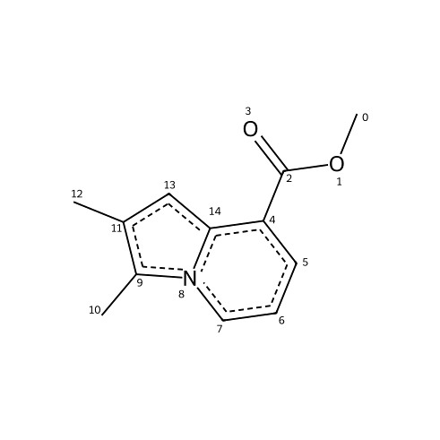 COC(=O)c1cccn2c(C)c(C)cc12